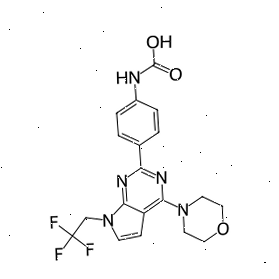 O=C(O)Nc1ccc(-c2nc(N3CCOCC3)c3ccn(CC(F)(F)F)c3n2)cc1